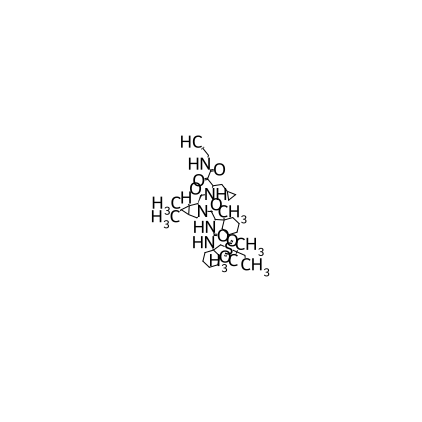 C#CCNC(=O)C(=O)C(CC1CC1)NC(=O)[C@@H]1[C@@H]2C(CN1C(=O)[C@@H](NC(=O)NC1(CS(=O)(=O)C(C)(C)CC)CCCCC1)C1(C)CCCCC1)C2(C)C